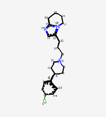 Clc1ccc(C2CCN(CCCc3cnc4n3CCCC4)CC2)cc1